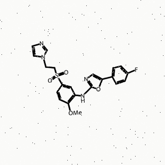 COc1ccc(S(=O)(=O)CCn2ccnc2)cc1Nc1ncc(-c2ccc(F)cc2)o1